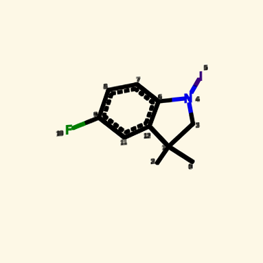 CC1(C)CN(I)c2ccc(F)cc21